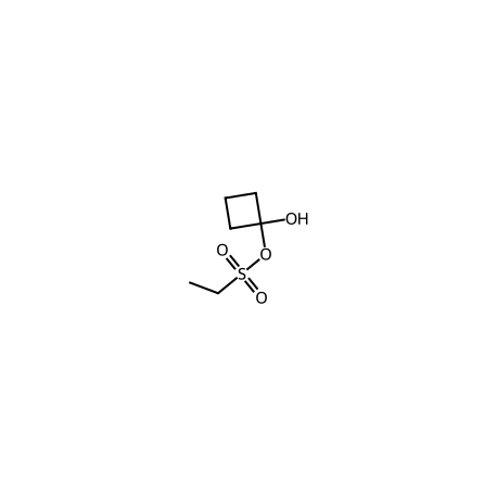 CCS(=O)(=O)OC1(O)CCC1